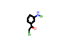 O=C(CBr)c1cccc(NBr)c1